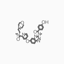 CN(CCN1CCOCC1)C(=O)c1cc(Oc2ccc3nnc(N(C)C(=O)c4ccc(O)cc4)nc3c2)ccn1